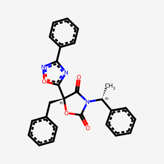 C[C@H](c1ccccc1)N1C(=O)O[C@](Cc2ccccc2)(c2nc(-c3ccccc3)no2)C1=O